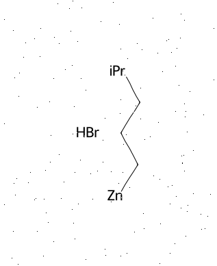 Br.CC(C)CC[CH2][Zn]